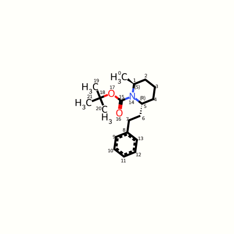 C[C@H]1CCC[C@H](CCc2ccccc2)N1C(=O)OC(C)(C)C